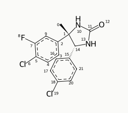 C[C@@]1(c2ccc(Cl)c(F)c2)NC(=O)N[C@@H]1c1ccc(Cl)cc1